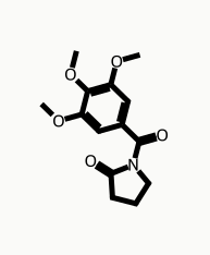 COc1cc(C(=O)N2CCCC2=O)cc(OC)c1OC